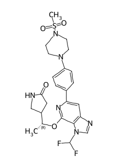 C[C@@H](Oc1nc(-c2ccc(N3CCN(S(C)(=O)=O)CC3)cc2)cc2ncn(C(F)F)c12)C1CNC(=O)C1